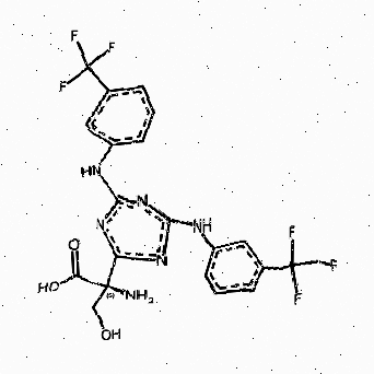 N[C@@](CO)(C(=O)O)c1nc(Nc2cccc(C(F)(F)F)c2)nc(Nc2cccc(C(F)(F)F)c2)n1